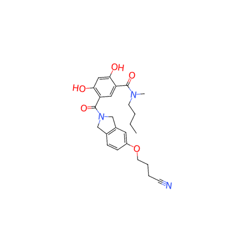 CCCCN(C)C(=O)c1cc(C(=O)N2Cc3ccc(OCCCC#N)cc3C2)c(O)cc1O